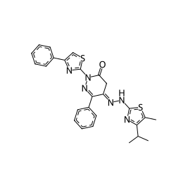 Cc1sc(N/N=C2\CC(=O)N(c3nc(-c4ccccc4)cs3)N=C2c2ccccc2)nc1C(C)C